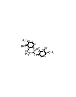 Cc1ccc(OC(C)Oc2ccc(C)c(Br)c2Br)c(Br)c1Br